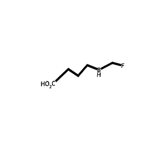 O=C(O)CCCBCF